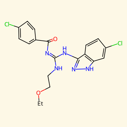 CCOCCN/C(=N/C(=O)c1ccc(Cl)cc1)Nc1n[nH]c2cc(Cl)ccc12